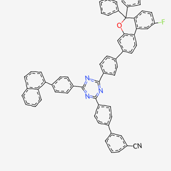 N#Cc1cccc(-c2ccc(-c3nc(-c4ccc(-c5ccc6c(c5)OC(c5ccccc5)(c5ccccc5)c5ccc(F)cc5-6)cc4)nc(-c4ccc(-c5cccc6ccccc56)cc4)n3)cc2)c1